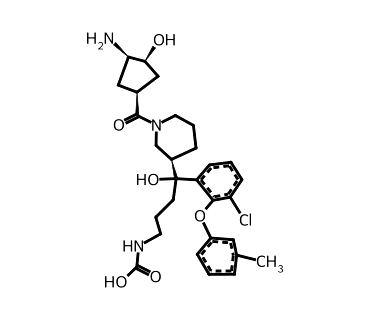 Cc1cccc(Oc2c(Cl)cccc2C(O)(CCCNC(=O)O)[C@@H]2CCCN(C(=O)[C@H]3C[C@@H](N)[C@@H](O)C3)C2)c1